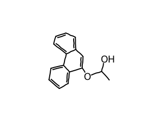 CC(O)Oc1cc2ccccc2c2ccccc12